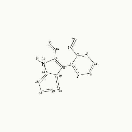 C=Cc1ccccc1-c1c(C=C)n(C)c2ccccc12